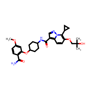 COc1ccc(C(N)=O)c(OC2CCC(NC(=O)c3cnn4c(C5CC5)c(OCC(C)(C)O)ccc34)CC2)c1